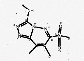 CNc1nnc2c(C)c(C)c(S(C)(=O)=O)nn12